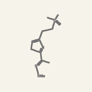 C=P(C)(C)CCC1=CCC(/C(C)=N/NC)=N1